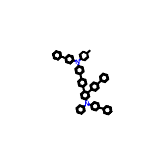 CC1C=CC(N(c2ccc(-c3ccccc3)cc2)c2ccc(-c3ccc(-c4ccc(N(c5ccccc5)c5ccc(-c6ccccc6)cc5)cc4-c4ccc(-c5ccccc5)cc4)cc3)cc2)=CC1